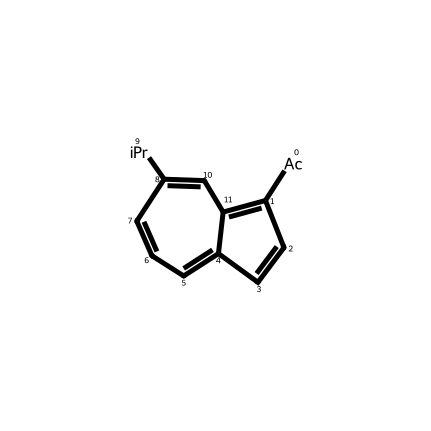 CC(=O)c1ccc2cccc(C(C)C)cc1-2